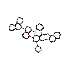 C1=CC2c3ccc4ccccc4c3OC2C(c2ccccc2N(c2ccc(-c3cc4ccccc4c4ccccc34)cc2)c2ccc(-c3ccccc3)cc2-c2ccccc2)=C1